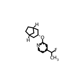 CC(F)c1ccnc(O[C@@H]2C[C@@H]3CC[C@@H](C3)C2)c1